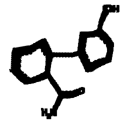 NC(=O)c1c[c]ccc1-c1cccc(O)c1